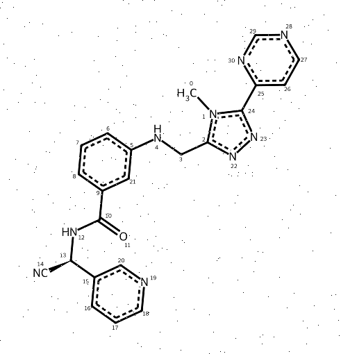 Cn1c(CNc2cccc(C(=O)N[C@H](C#N)c3cccnc3)c2)nnc1-c1ccncn1